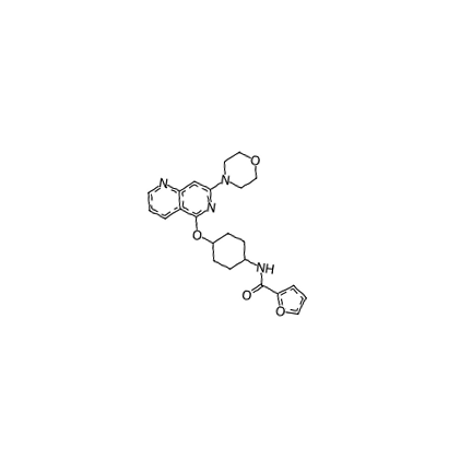 O=C(NC1CCC(Oc2nc(N3CCOCC3)cc3ncccc23)CC1)c1ccco1